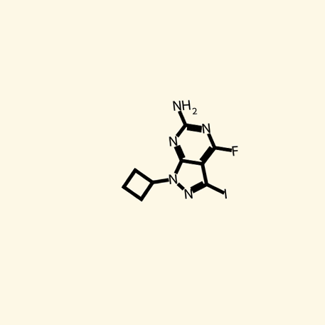 Nc1nc(F)c2c(I)nn(C3CCC3)c2n1